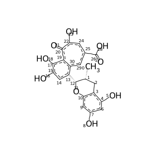 C[C@@H]1Cc2c(O)cc(O)cc2O[C@@H]1c1cc(O)c(O)c2c(=O)c(O)cc(C(=O)O)cc12